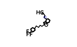 C#C/C=C/c1cccc2oc(CCCCc3ccc(C(F)(F)F)cc3)cc12